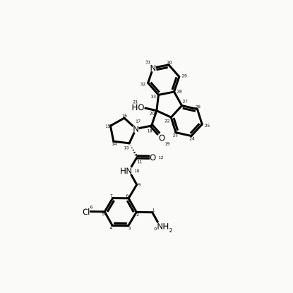 NCc1ccc(Cl)cc1CNC(=O)[C@@H]1CCCN1C(=O)C1(O)c2ccccc2-c2ccncc21